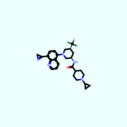 O=C(N[C@@H]1C[C@H](C(F)(F)F)CN(c2ccc(C3=NC3)c3ncccc23)C1)C1CCN(C2CC2)CC1